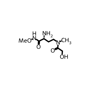 CONC(=O)[C@@H](N)CCN(C)C(=O)CO